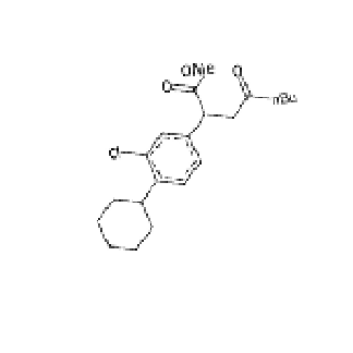 CCCCC(=O)CC(C(=O)OC)c1ccc(C2CCCCC2)c(Cl)c1